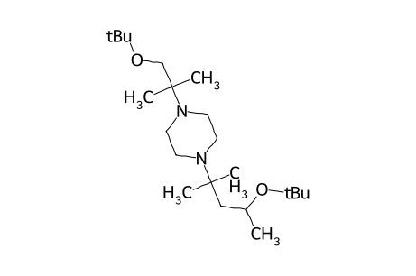 CC(CC(C)(C)N1CCN(C(C)(C)COC(C)(C)C)CC1)OC(C)(C)C